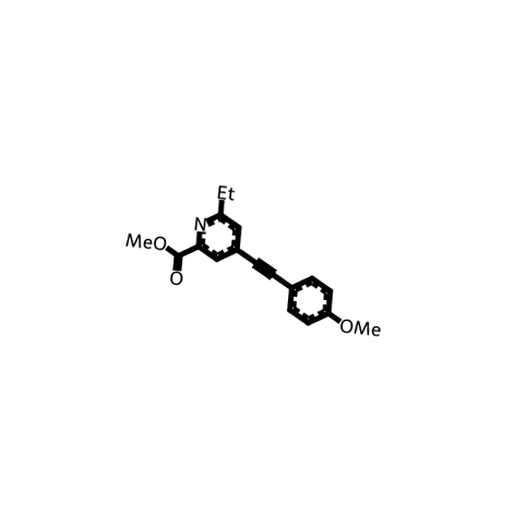 CCc1cc(C#Cc2ccc(OC)cc2)cc(C(=O)OC)n1